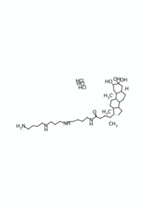 C[C@H](CCC(=O)NCCCCCNCCCNCCCCN)[C@H]1CCC2C3CC[C@@H]4CC(O)(O)C(O)C[C@]4(C)C3CC[C@@]21C.Cl.Cl.Cl